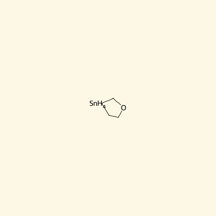 C1CCOC1.[SnH4]